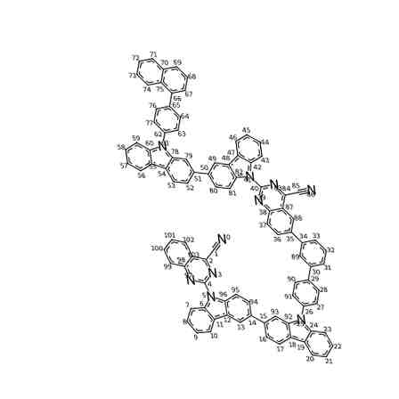 N#Cc1nc(-n2c3ccccc3c3cc(-c4ccc5c6ccccc6n(-c6ccc(-c7cccc(-c8ccc9nc(-n%10c%11ccccc%11c%11cc(-c%12ccc%13c%14ccccc%14n(-c%14ccc(-c%15cccc%16ccccc%15%16)cc%14)c%13c%12)ccc%11%10)nc(C#N)c9c8)c7)cc6)c5c4)ccc32)nc2ccccc12